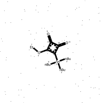 CCC[CH2][Sn]([CH2]CCC)([CH2]CCC)[c]1c(OCC)c(=O)c1=O